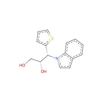 OC[C@@H](O)[C@H](c1cccs1)n1ccc2ccccc21